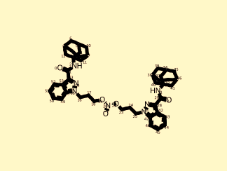 O=C(NC12CC3CC(CC(C3)C1)C2)c1nn(CCCO[N+](=O)OCCCn2nc(C(=O)NC34CC5CC(CC(C5)C3)C4)c3ccccc32)c2ccccc12